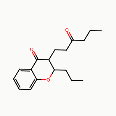 CCCC(=O)CCC1C(=O)c2ccccc2OC1CCC